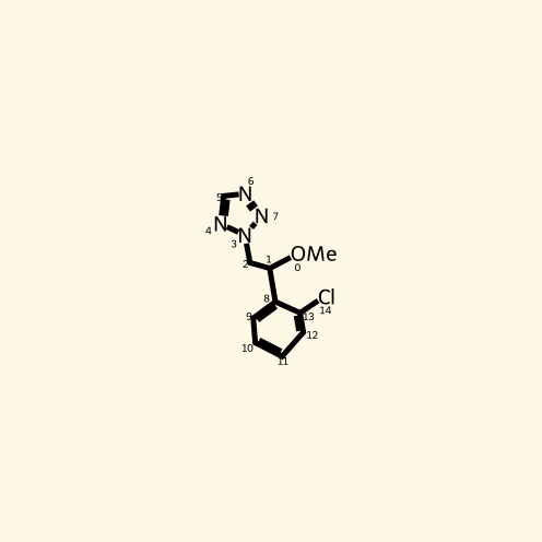 COC(Cn1ncnn1)c1ccccc1Cl